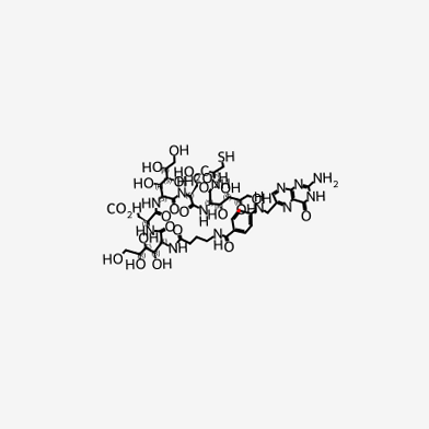 Nc1nc2ncc(CNc3ccc(C(=O)NCCCC(=O)N[C@H](C(=O)N[C@@H](CC(=O)O)C(=O)N[C@H](C(=O)N[C@@H](CC(=O)O)C(=O)N[C@H](C(=O)N[C@H](CS)C(=O)O)[C@@H](O)[C@H](O)[C@H](O)CO)[C@@H](O)[C@H](O)[C@H](O)CO)[C@@H](O)[C@H](O)[C@H](O)CO)cc3)nc2c(=O)[nH]1